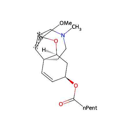 CCCCCC(=O)O[C@H]1C=C[C@@]23CCN(C)Cc4ccc(OC)c(c42)O[C@H]3C1